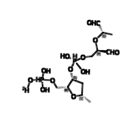 [2H]O[PH](O)(O)OC[C@H]1O[C@@H](C)C[C@H]1O[PH](O)(O)OC[C@H](C=O)O[C@@H](C)C=O